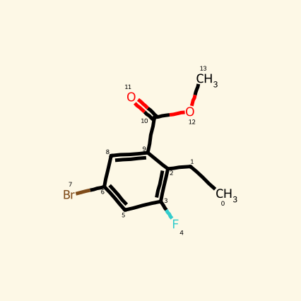 CCc1c(F)cc(Br)cc1C(=O)OC